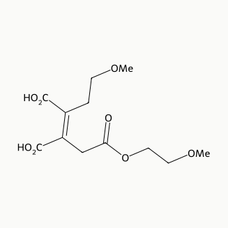 COCCOC(=O)CC(C(=O)O)=C(CCOC)C(=O)O